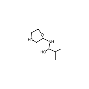 CC(C)C(O)NC1CNCCO1